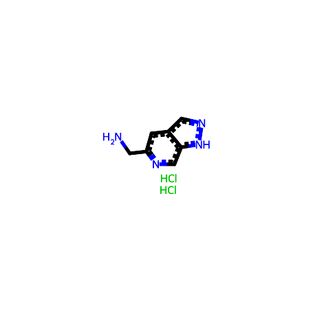 Cl.Cl.NCc1cc2cn[nH]c2cn1